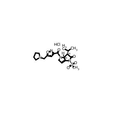 CC(C)[C@H]1C(=O)N(S(C)(=O)=O)C2=CCN(C(=O)c3cc(CN4CCCC4)on3)[C@@H]21.Cl